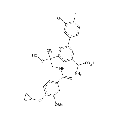 COc1cc(C(=O)NCC(SO)(c2cc(C(N)C(=O)O)cc(-c3ccc(F)c(Cl)c3)n2)C(F)(F)F)ccc1OC1CC1